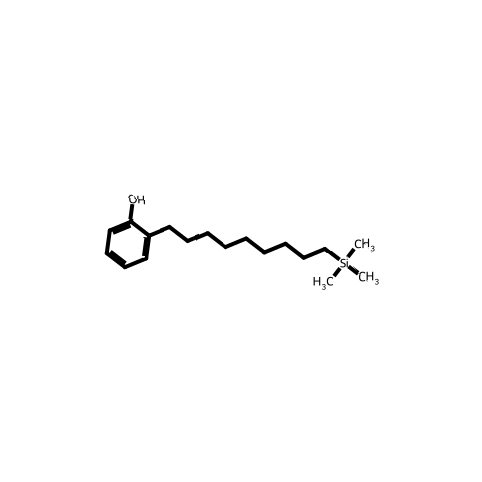 C[Si](C)(C)CCCCCCCCCc1ccccc1O